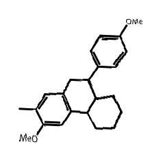 COc1ccc(C2Cc3cc(C)c(OC)cc3C3CCCCC23)cc1